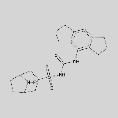 CCN1C2CCC1CC(S(=O)(=O)NC(=O)Nc1c3c(cc4c1CCC4)CCC3)C2